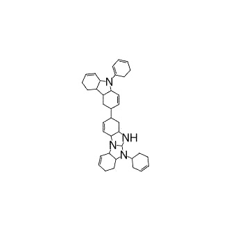 C1=CCCC(N2C3C=CCCC3C3CC(C4C=CC5C(C4)NC4N5C5C=CCCC5N4C4CC=CCC4)C=CC32)=C1